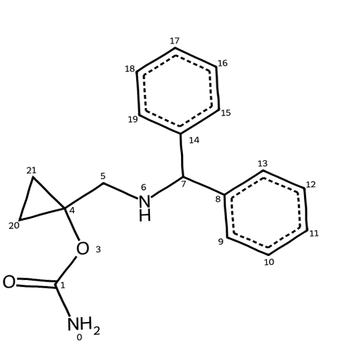 NC(=O)OC1(CNC(c2ccccc2)c2ccccc2)CC1